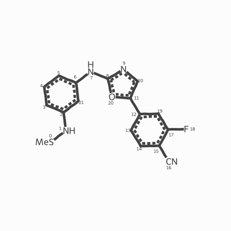 CSNc1cccc(Nc2ncc(-c3ccc(C#N)c(F)c3)o2)c1